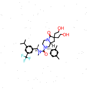 Cc1ccc([C@H]2[C@@H]3CC(CCO)(CCO)C(=O)N3CCN2C(=O)N(C)[C@H](C)c2cc(C(C)C)cc(C(F)(F)F)c2)c(C)c1